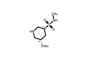 CO[C@@H]1CNC[C@@H](S(=O)(=O)NOC(C)=O)C1